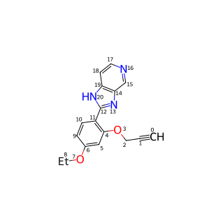 C#CCOc1cc(OCC)ccc1-c1nc2cnccc2[nH]1